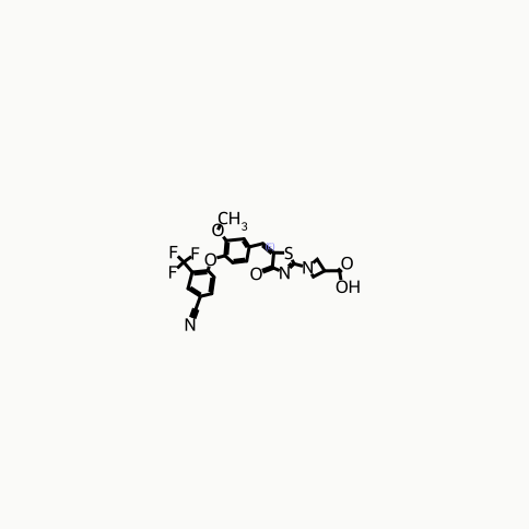 COc1cc(/C=C2/SC(N3CC(C(=O)O)C3)=NC2=O)ccc1Oc1ccc(C#N)cc1C(F)(F)F